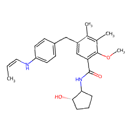 C/C=C\Nc1ccc(Cc2cc(C(=O)NC3CCC[C@@H]3O)c(OC)c(C)c2C)cc1